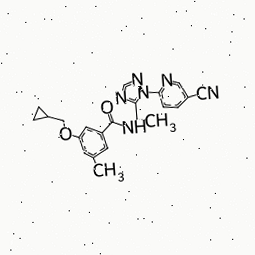 Cc1cc(OCC2CC2)cc(C(=O)N[C@@H](C)c2ncnn2-c2ccc(C#N)cn2)c1